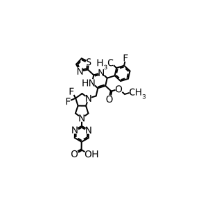 CCOC(=O)C1=C(CN2CC(F)(F)C3CN(c4ncc(C(=O)O)cn4)CC32)NC(c2nccs2)=NC1c1cccc(F)c1C